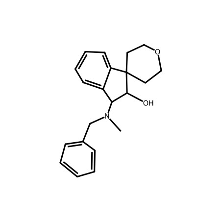 CN(Cc1ccccc1)C1c2ccccc2C2(CCOCC2)C1O